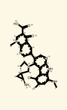 CNc1cc(F)c(Cl)c2c1[nH]c1ncc(-c3cnc4c(c3)c(=O)c(C(=O)O)cn4C)c(N3CC[C@]4(C[C@@H]4N)C3)c12